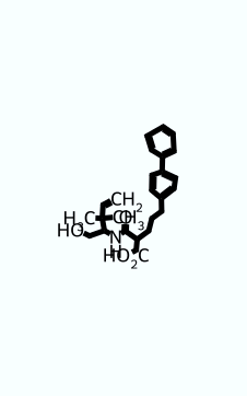 C=CC(C)(C)C(CO)NC(=O)C(CCCc1ccc(-c2ccccc2)cc1)CC(=O)O